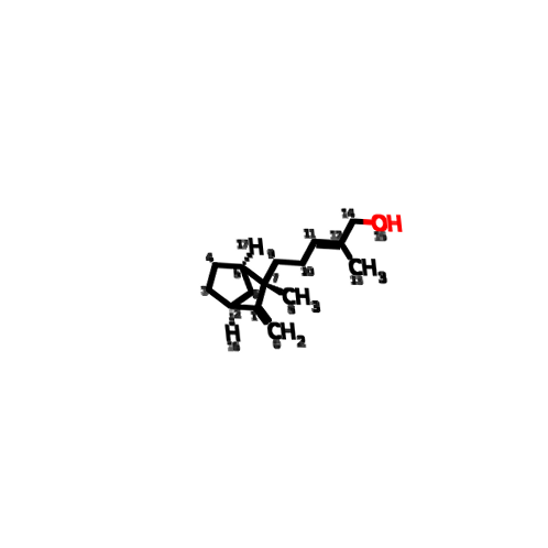 C=C1[C@H]2CC[C@H](C2)[C@]1(C)CC/C=C(\C)CO